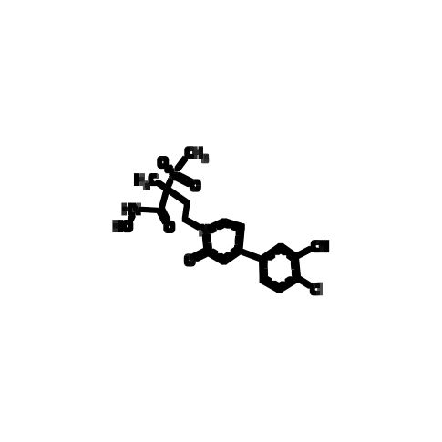 CC(CCn1ccc(-c2ccc(Cl)c(C#N)c2)cc1=O)(C(=O)NO)S(C)(=O)=O